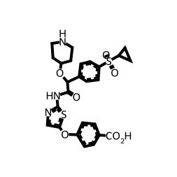 O=C(O)c1ccc(Oc2cnc(NC(=O)C(OC3CCNCC3)c3ccc(S(=O)(=O)C4CC4)cc3)s2)cc1